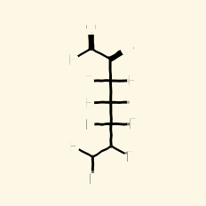 O=C(F)C(=O)C(F)(F)C(F)(F)C(F)(F)C(F)C(F)F